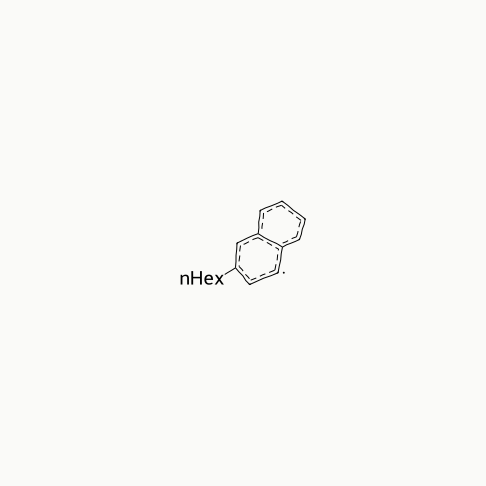 CCCCCCc1c[c]c2ccccc2c1